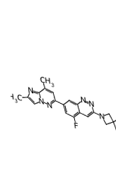 Cc1cn2nc(-c3cc(F)c4cc(N5CC6(CCNC6)C5)nnc4c3)cc(C)c2n1